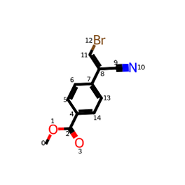 COC(=O)c1ccc(C(C#N)=CBr)cc1